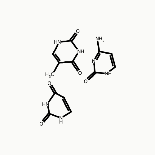 Cc1c[nH]c(=O)[nH]c1=O.Nc1cc[nH]c(=O)n1.O=c1cc[nH]c(=O)[nH]1